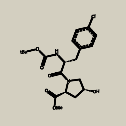 COC(=O)[C@@H]1C[C@@H](O)CN1C(=O)[C@@H](Cc1ccc(Cl)cc1)NC(=O)OC(C)(C)C